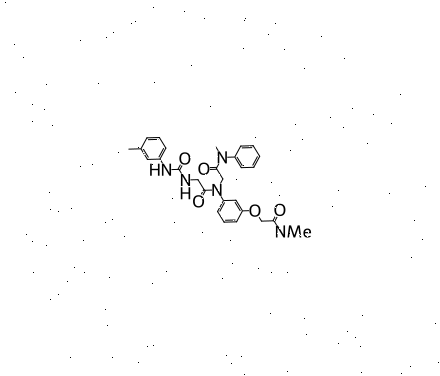 CNC(=O)COc1cccc(N(CC(=O)N(C)c2ccccc2)C(=O)CNC(=O)Nc2cccc(C)c2)c1